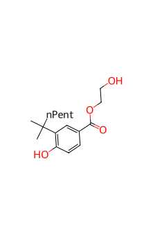 CCCCCC(C)(C)c1cc(C(=O)OCCO)ccc1O